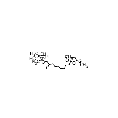 COC1C=CC(CC/C=C\CCCC(=O)CO[Si](C)(C)C(C)(C)C)(OC)O1